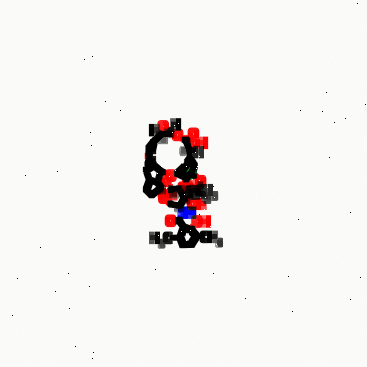 COc1cc2c(Cl)c(c1OC)OC1c3ccc(cc3C3=CC[C@@H](O)C31O[C@H]1OC[C@H](NC(=O)c3c(C)ccc(C)c3O)[C@](C)(O)[C@@H]1O)[C@@H]1O[C@@H]1OC(=O)[C@@H]2O